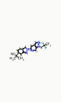 CC(C)(C#N)c1ccc2cn(-c3cc4cnn(CC(F)(F)C(F)(F)F)c4cn3)nc2c1